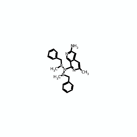 CB(Cc1ccccc1)N(B(C)Cc1ccccc1)c1nc(C)cc2cc(N)ncc12